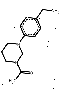 CC(=O)N1CCCN(c2ccc(CN)cc2)C1